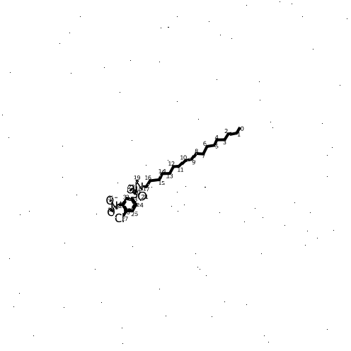 CCCCCCCCCCCCCCCCCCN(C)S(=O)(=O)c1ccc(Cl)c([N+](=O)[O-])c1